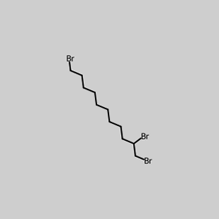 BrCCCCCCCCCC(Br)CBr